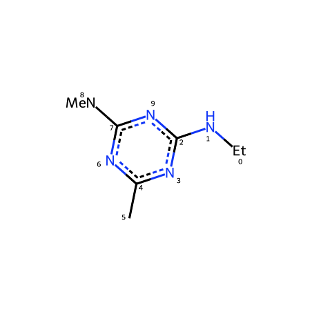 CCNc1nc(C)nc(NC)n1